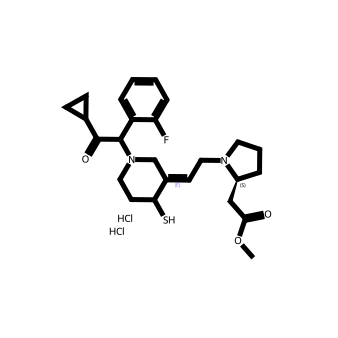 COC(=O)C[C@@H]1CCCN1C/C=C1\CN(C(C(=O)C2CC2)c2ccccc2F)CCC1S.Cl.Cl